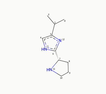 CC(C)c1c[nH]c([C@@H]2CCCN2)n1